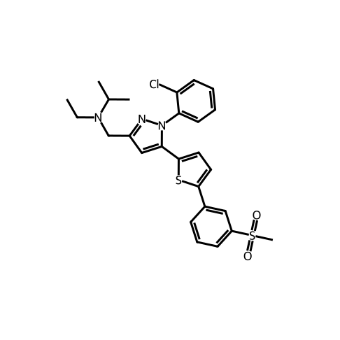 CCN(Cc1cc(-c2ccc(-c3cccc(S(C)(=O)=O)c3)s2)n(-c2ccccc2Cl)n1)C(C)C